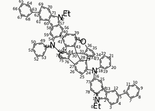 CCn1c2ccc(-c3ccccc3)cc2c2cc(N(c3ccccc3)c3ccc4c(c3)C3(c5ccccc5Oc5ccccc53)c3cc(N(c5ccccc5)c5ccc6c(c5)c5cc(-c7ccccc7)ccc5n6CC)ccc3-4)ccc21